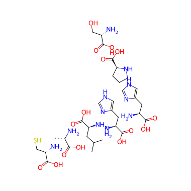 CC(C)C[C@H](N)C(=O)O.C[C@H](N)C(=O)O.N[C@@H](CO)C(=O)O.N[C@@H](CS)C(=O)O.N[C@@H](Cc1c[nH]cn1)C(=O)O.N[C@@H](Cc1c[nH]cn1)C(=O)O.O=C(O)[C@@H]1CCCN1